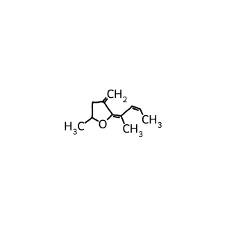 C=C1CC(C)O/C1=C(C)/C=C\C